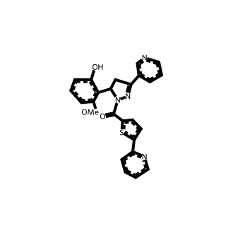 COc1cccc(O)c1C1CC(c2cccnc2)=NN1C(=O)c1ccc(-c2ccccn2)s1